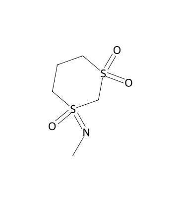 CN=S1(=O)CCCS(=O)(=O)C1